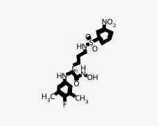 Cc1cc(N[C@H](CCCCNS(=O)(=O)c2cccc([N+](=O)[O-])c2)C(=O)NO)cc(C)c1F